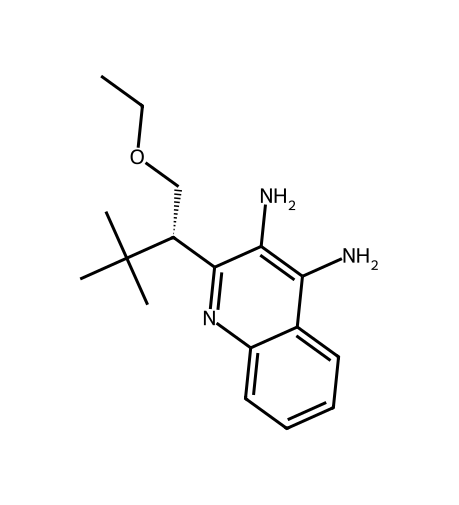 CCOC[C@H](c1nc2ccccc2c(N)c1N)C(C)(C)C